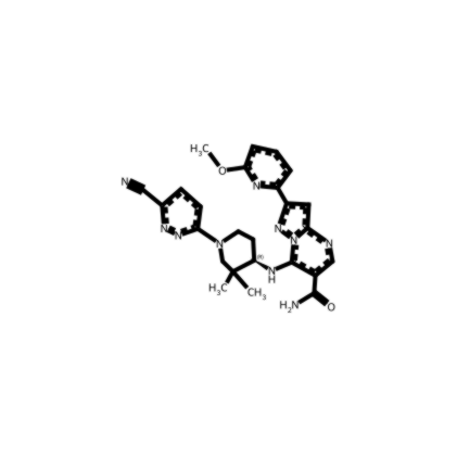 COc1cccc(-c2cc3ncc(C(N)=O)c(N[C@@H]4CCN(c5ccc(C#N)nn5)CC4(C)C)n3n2)n1